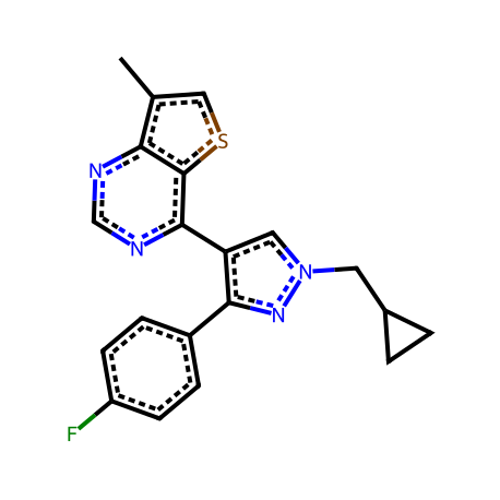 Cc1csc2c(-c3cn(CC4CC4)nc3-c3ccc(F)cc3)ncnc12